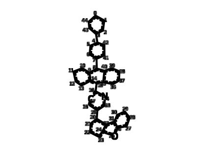 c1ccc(-c2ccc(-c3c4ccccc4c(-c4ccc(-c5cccc6oc7ccccc7c56)cn4)c4ccccc34)cc2)cc1